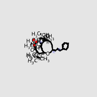 CC[C@H]1OC(=O)[C@H](C)C(=O)[C@H](C)[C@@H](C(C)(C)C)[C@@]2(C)C[C@@H](C)/C(=N\C(C)=O)[C@H](C)[C@@H](CC/C(=C\C=C\c3ccccc3)CO2)[C@]1(C)O